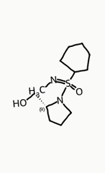 CN=S(=O)(C1CCCCC1)N1CCC[C@@H]1CO